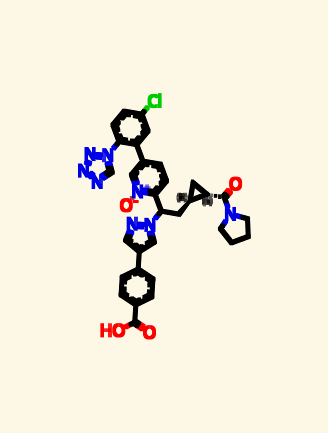 O=C(O)c1ccc(-c2cnn(C(C[C@H]3C[C@@H]3C(=O)N3CCCC3)c3ccc(-c4cc(Cl)ccc4-n4cnnn4)c[n+]3[O-])c2)cc1